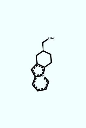 CC(=O)OC[C@H]1CCc2c(cc3ccccn23)C1